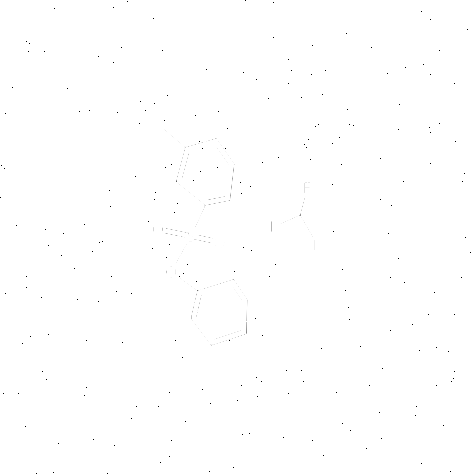 Cc1cccc(S(=O)(=O)Oc2ccccc2)c1.FC(F)F